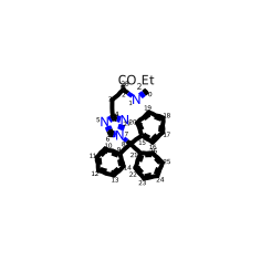 C=NC(Cc1ncn(C(c2ccccc2)(c2ccccc2)c2ccccc2)n1)C(=O)OCC